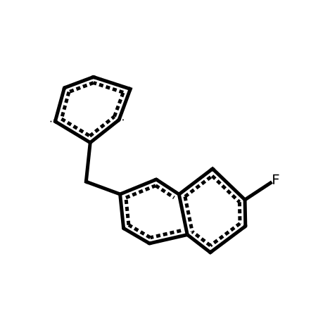 Fc1ccc2ccc(Cc3[c]ccc[c]3)cc2c1